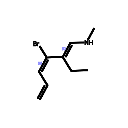 C=C/C=C(Br)\C(=C\NC)CC